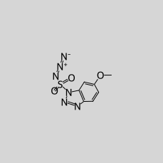 COc1ccc2nnn(S(=O)(=O)N=[N+]=[N-])c2c1